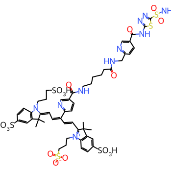 CC1(C)C(/C=C/C(=C/C=C2/N(CCCS(=O)(=O)O)c3ccc(S(=O)(=O)O)cc3C2(C)C)c2ccc(C(=O)NCCCCCC(=O)NCc3ccc(C(=O)Nc4nnc(S(N)(=O)=O)s4)cn3)cn2)=[N+](CCCS(=O)(=O)[O-])c2ccc(S(=O)(=O)O)cc21